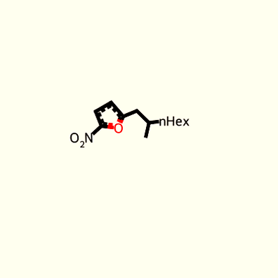 CCCCCCC(C)Cc1ccc([N+](=O)[O-])o1